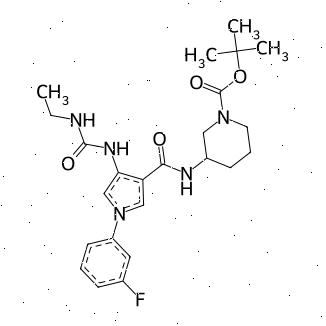 CCNC(=O)Nc1cn(-c2cccc(F)c2)cc1C(=O)NC1CCCN(C(=O)OC(C)(C)C)C1